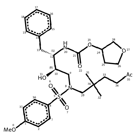 COc1ccc(S(=O)(=O)N(C[C@@H](O)[C@H](Cc2ccccc2)NC(=O)OC2CCOC2)CC(C)(C)CCC(C)=O)cc1